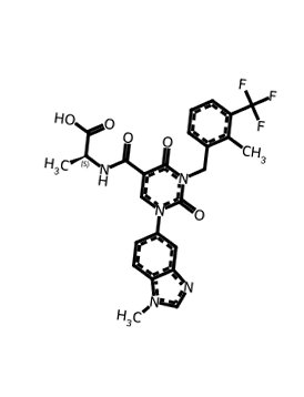 Cc1c(Cn2c(=O)c(C(=O)N[C@@H](C)C(=O)O)cn(-c3ccc4c(c3)ncn4C)c2=O)cccc1C(F)(F)F